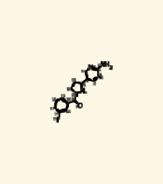 Nc1ncc(C2=NN(C(=O)c3cccc(F)c3)CC2)cn1